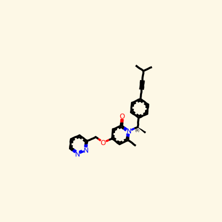 Cc1cc(OCc2cccnn2)cc(=O)n1[C@H](C)c1ccc(C#CC(C)C)cc1